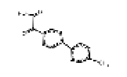 Cc1ccc(-c2ccc(C(=O)C(=O)O)cc2)cc1